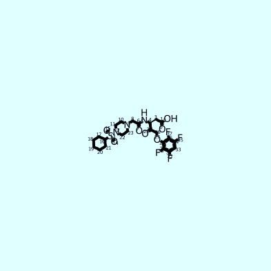 O=C(O)C[C@H](NC(=O)CN1CCN(S(=O)(=O)C2CCCCC2)CC1)C(=O)COc1c(F)c(F)cc(F)c1F